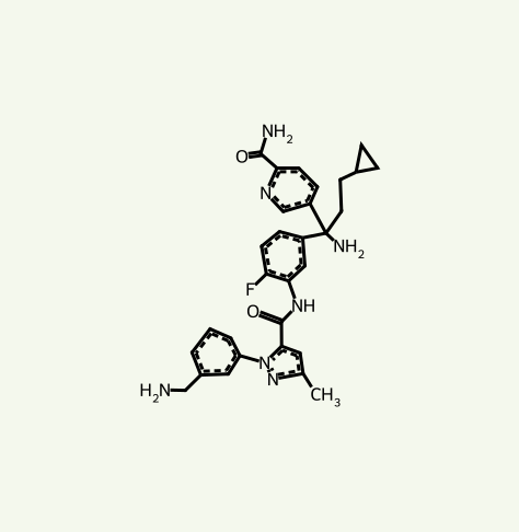 Cc1cc(C(=O)Nc2cc(C(N)(CCC3CC3)c3ccc(C(N)=O)nc3)ccc2F)n(-c2cccc(CN)c2)n1